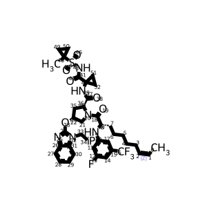 C/C=C\CCCCC[C@H](Nc1cc(F)cc(C(F)(F)F)c1)C(=O)N1C[C@H](Oc2nc3ccccc3n2CC(C)C)C[C@H]1C(=O)NC1(C(=O)NS(=O)(=O)C2(C)CC2)CC1